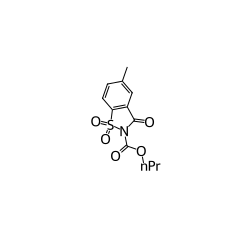 CCCOC(=O)N1C(=O)c2cc(C)ccc2S1(=O)=O